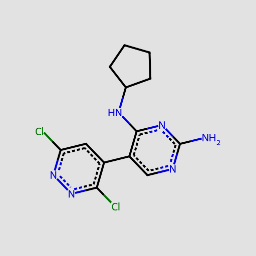 Nc1ncc(-c2cc(Cl)nnc2Cl)c(NC2CCCC2)n1